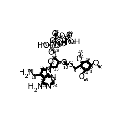 COc1cc(OC)c(CSCOC2C[C@H](n3cc(CN)c4c(N)ncnc43)O[C@@H]2COP(=O)(O)OP(=O)(O)OP(=O)(O)O)c(OC)c1